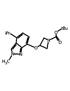 CC(C)c1ccc(OC2CN(C(=O)OC(C)(C)C)C2)c2nn(C)cc12